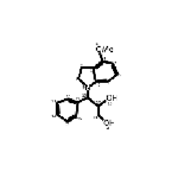 COc1cccc2c1CCN2C(c1ccccc1)C(O)CO